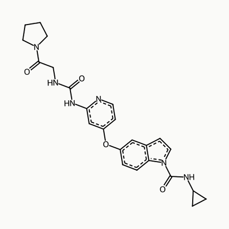 O=C(NCC(=O)N1CCCC1)Nc1cc(Oc2ccc3c(ccn3C(=O)NC3CC3)c2)ccn1